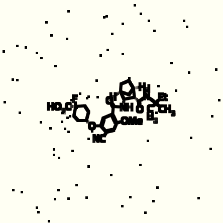 CCC(C)(C)NC(=O)[C@H]1[C@@H]2CC[C@@H](C2)[C@H]1NC(=O)c1cc(O[C@H]2CC[C@@](F)(C(=O)O)CC2)c(C#N)cc1OC